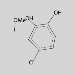 COC.Oc1ccc(Cl)cc1O